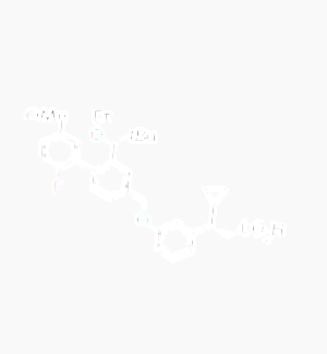 CCO[C@@H](c1cc(COc2cccc([C@@H](CC(=O)O)C3CC3)c2)ccc1-c1cc(OC)ccc1F)C(C)(C)C